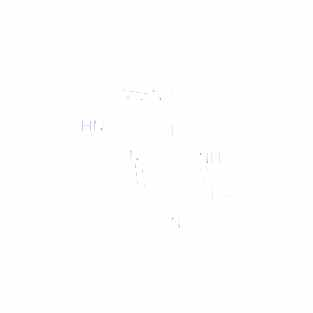 n1pn2[nH]o[nH]p2[nH][pH]1